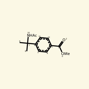 COC(=O)c1ccc(C(C)(C)NC(C)=O)cc1